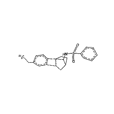 CCc1ccc2c(c1)C1CC3CCC21C3NS(=O)(=O)c1ccccc1